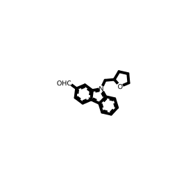 O=Cc1ccc2c3ccccc3n(CC3CCCO3)c2c1